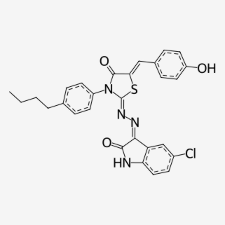 CCCCc1ccc(N2C(=O)C(=Cc3ccc(O)cc3)SC2=NN=C2C(=O)Nc3ccc(Cl)cc32)cc1